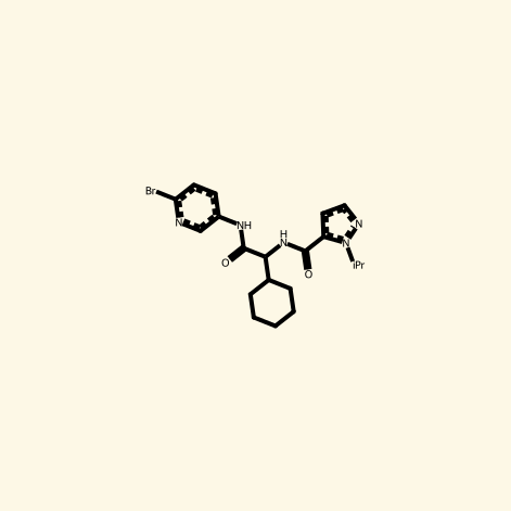 CC(C)n1nccc1C(=O)NC(C(=O)Nc1ccc(Br)nc1)C1CCCCC1